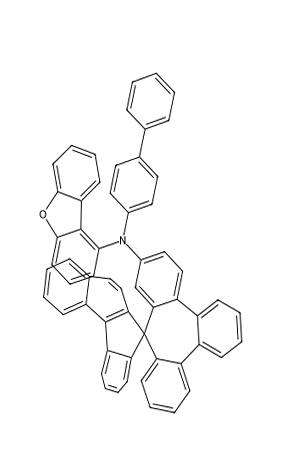 c1ccc(-c2ccc(N(c3ccc4c(c3)C3(c5ccccc5-c5ccccc5-4)c4ccccc4-c4c3ccc3ccccc43)c3cccc4oc5ccccc5c34)cc2)cc1